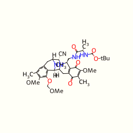 COCOc1c(OC)c(C)cc2c1[C@@H]1[C@@H]3CC4=C(C(=O)C(OC)=C(C)C4=O)[C@H](CNC(=O)[C@H](C)NC(=O)OC(C)(C)C)N3[C@@H](C#N)[C@@H](C2)N1C